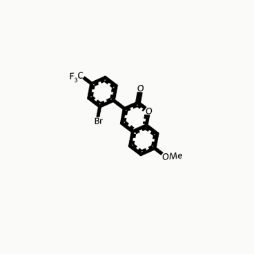 COc1ccc2cc(-c3ccc(C(F)(F)F)cc3Br)c(=O)oc2c1